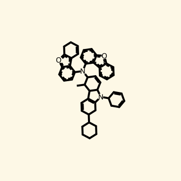 CC1C2C3=C(CC(C4CCCCC4)C=C3)N(C3C=CC=CC3)C2C=CC1N(c1cccc2oc3c(c12)C=CCC3)c1cccc2oc3ccccc3c12